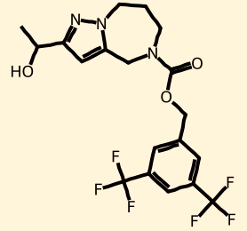 CC(O)c1cc2n(n1)CCCN(C(=O)OCc1cc(C(F)(F)F)cc(C(F)(F)F)c1)C2